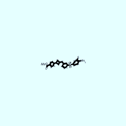 COC(=O)c1ccc(C2CC(Cc3cccc(S(=O)(=O)c4ccc(N)c(F)c4)c3)C2)cc1